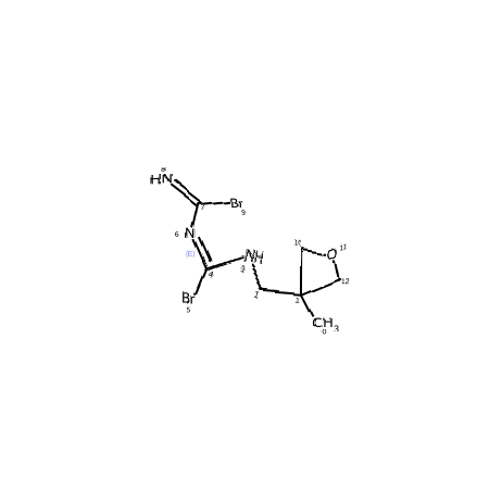 CC1(CN/C(Br)=N\C(=N)Br)COC1